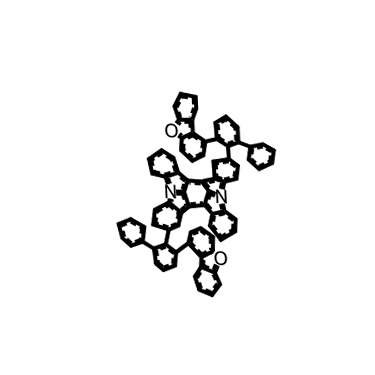 c1ccc(-c2cccc(-c3cccc4oc5ccccc5c34)c2-c2ccc3c(c2)c2c4c5ccccc5n5c6ccc(-c7c(-c8ccccc8)cccc7-c7cccc8oc9ccccc9c78)cc6c(c6c7ccccc7n3c62)c45)cc1